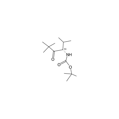 CC(C)[C@H](NC(=O)OC(C)(C)C)C(=O)C(C)(C)C